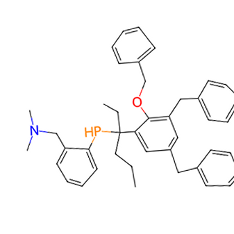 CCCC(CC)(Pc1ccccc1CN(C)C)c1cc(Cc2ccccc2)cc(Cc2ccccc2)c1OCc1ccccc1